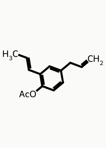 C=CCc1ccc(OC(C)=O)c(C=CC)c1